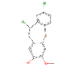 COc1cc2c(cc1OC)Sc1ccc(Cl)cc1C(Cl)C2